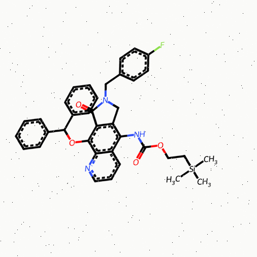 C[Si](C)(C)CCOC(=O)Nc1c2c(c(OC(c3ccccc3)c3ccccc3)c3ncccc13)C(=O)N(Cc1ccc(F)cc1)C2